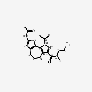 CC(=O)Nc1nc2c(s1)-c1c(c(C(=O)N(C)CCO)nn1C(C)C)CCC2